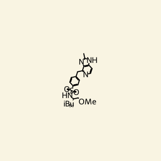 CC[C@H](C)C(COC)NS(=O)(=O)c1ccc(Cc2nccc3[nH]c(C)nc23)cc1